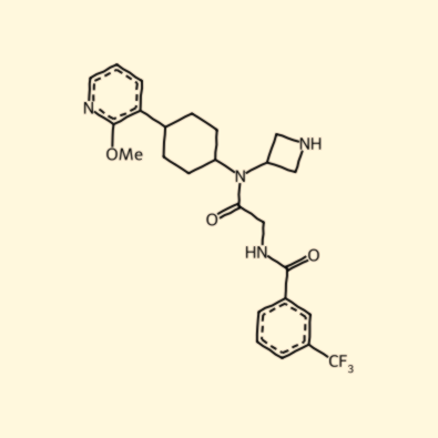 COc1ncccc1C1CCC(N(C(=O)CNC(=O)c2cccc(C(F)(F)F)c2)C2CNC2)CC1